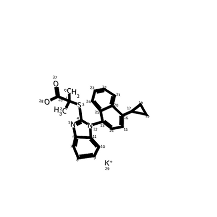 CC(C)(Sc1nc2ccccc2n1-c1ccc(C2CC2)c2ccccc12)C(=O)[O-].[K+]